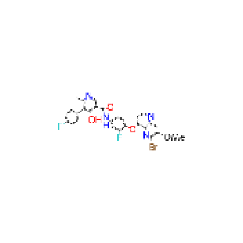 COc1cc2nccc(Oc3ccc(NC(=O)c4cnc(C)c(-c5ccc(F)cc5)c4O)cc3F)c2nc1Br